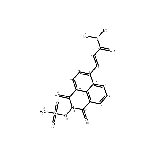 CCN(C)C(=O)/C=C/c1ccc2c3c(cccc13)C(=O)N(OS(=O)(=O)C(F)(F)F)C2=N